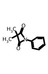 CC1(C)C(=O)N(c2ccccc2)C1=O